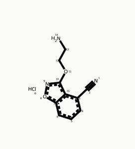 Cl.N#Cc1cccc2onc(OCCN)c12